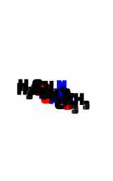 C[C@H]1CN(Cc2cccc3c2OCCN3C(=O)OC(C)(C)C)CCN1c1cc(=O)n(C)c2ccc(C#N)nc12